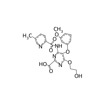 COc1cccc(Oc2c(NS(=O)(=O)c3ccc(C)cn3)nc(C(=O)O)nc2OCCO)c1